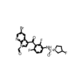 O=Cn1cc(C(=O)c2c(F)ccc(N[S+]([O-])N3CCC(F)C3)c2F)c2cc(Br)cnc21